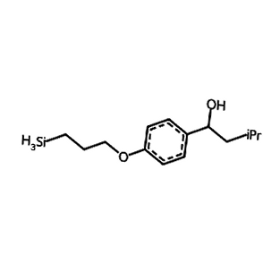 CC(C)CC(O)c1ccc(OCCC[SiH3])cc1